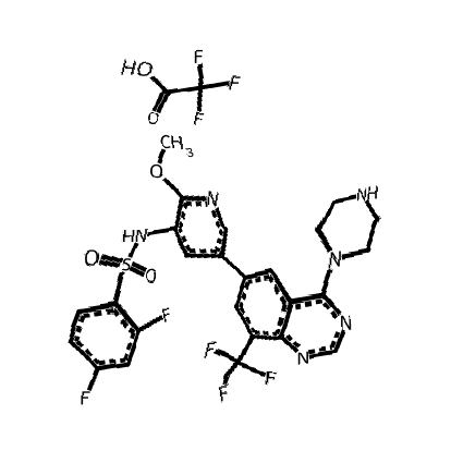 COc1ncc(-c2cc(C(F)(F)F)c3ncnc(N4CCNCC4)c3c2)cc1NS(=O)(=O)c1ccc(F)cc1F.O=C(O)C(F)(F)F